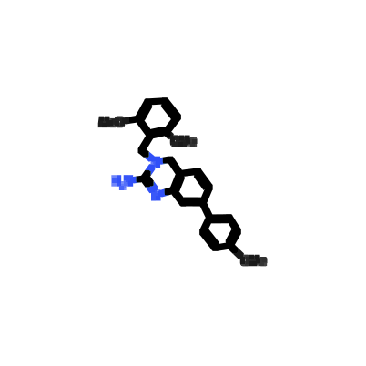 COc1ccc(-c2ccc3c(c2)N=C(N)N(Cc2c(OC)cccc2OC)C3)cc1